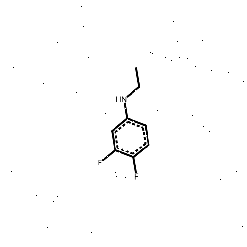 CCNc1ccc(F)c(F)c1